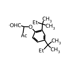 CCC(C)(C)c1ccc(OC([C]=O)C(C)=O)c(C(C)(C)CC)c1